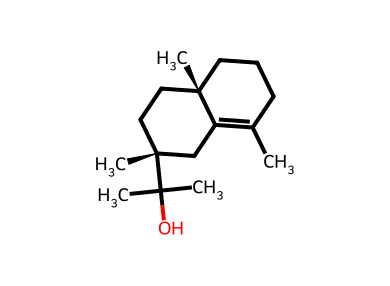 CC1=C2C[C@](C)(C(C)(C)O)CC[C@]2(C)CCC1